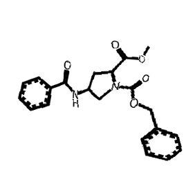 COC(=O)C1CC(NC(=O)c2ccccc2)CN1C(=O)OCc1ccccc1